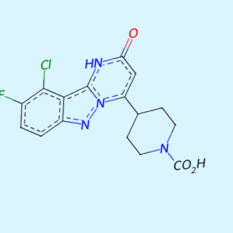 O=C(O)N1CCC(c2cc(=O)[nH]c3c4c(Cl)c(F)ccc4nn23)CC1